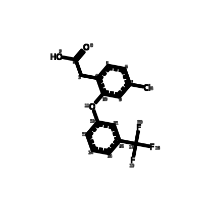 O=C(O)Cc1ccc(Cl)cc1Oc1cccc(C(F)(F)F)c1